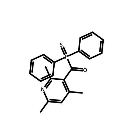 Cc1cc(C)c(C(=O)P(=S)(c2ccccc2)c2ccccc2)c(C)n1